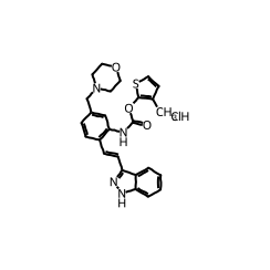 Cc1ccsc1OC(=O)Nc1cc(CN2CCOCC2)ccc1/C=C/c1n[nH]c2ccccc12.Cl